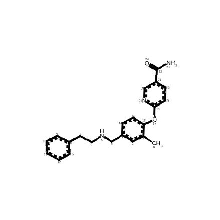 Cc1cc(CNCCc2ccccc2)ccc1Oc1ccc(C(N)=O)cn1